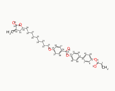 C=CC(=O)Oc1ccc(-c2ccc(OC(=O)c3ccc(OCCCCCCCCCC4CC(=C)C(=O)O4)cc3)cc2)cc1